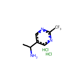 CC(N)c1cnc(C(F)(F)F)nc1.Cl.Cl